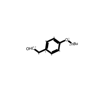 CCCCOc1ccc(CC=O)cc1